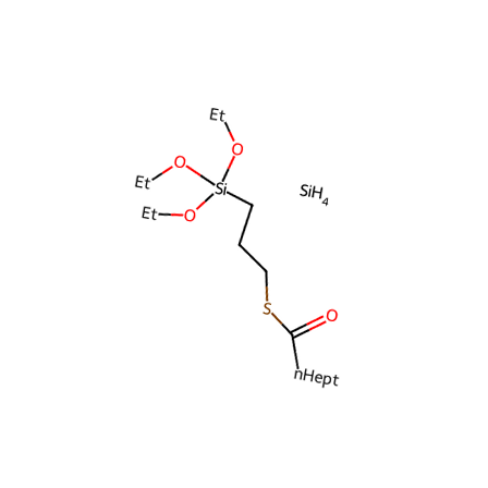 CCCCCCCC(=O)SCCC[Si](OCC)(OCC)OCC.[SiH4]